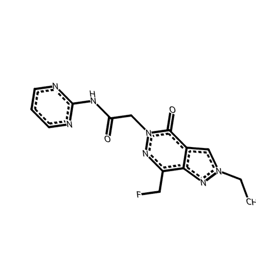 CCn1cc2c(=O)n(CC(=O)Nc3ncccn3)nc(CF)c2n1